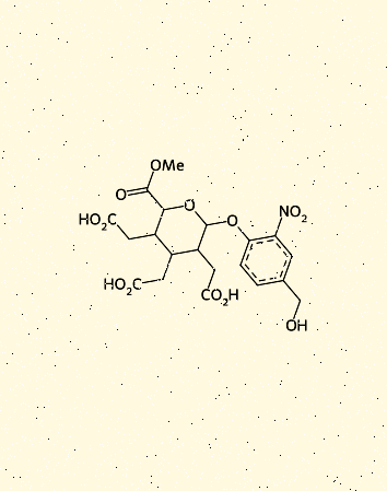 COC(=O)C1OC(Oc2ccc(CO)cc2[N+](=O)[O-])C(CC(=O)O)C(CC(=O)O)C1CC(=O)O